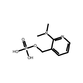 CN(C)c1ncccc1COP(=O)(O)O